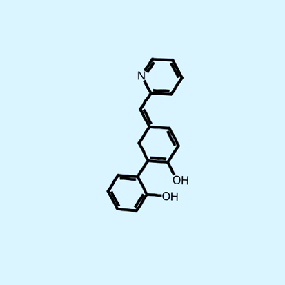 OC1=C(c2ccccc2O)CC(=Cc2ccccn2)C=C1